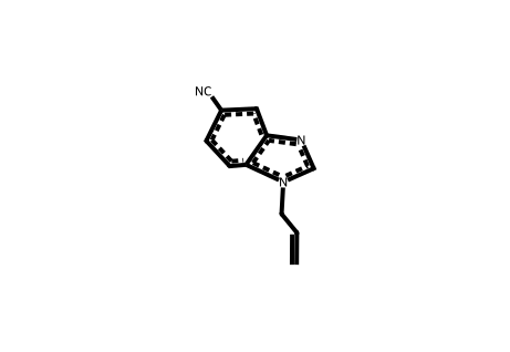 C=CCn1cnc2cc(C#N)ccc21